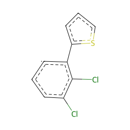 Clc1cc[c]c(-c2cccs2)c1Cl